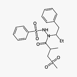 CCC(Cc1ccccc1)N(NS(=O)(=O)c1ccccc1)C(=O)C(C)CS(C)(=O)=O